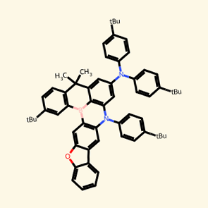 CC(C)(C)c1ccc(N(c2ccc(C(C)(C)C)cc2)c2cc3c4c(c2)C(C)(C)c2ccc(C(C)(C)C)cc2B4c2cc4oc5ccccc5c4cc2N3c2ccc(C(C)(C)C)cc2)cc1